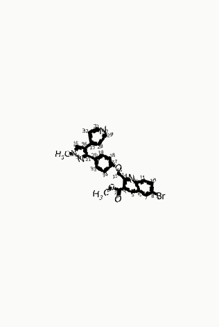 COC(=O)c1cc2cc(Br)ccc2nc1COc1ccc(-c2nn(C)cc2-c2ccncc2)cc1